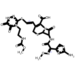 CO/N=C(\C(=O)NC1C(=O)N2C(C(=O)O)=C(/C=C/Sc3n[nH]c(=O)c(=O)n3CCNC(=O)OC)CSC12)c1csc(N)n1